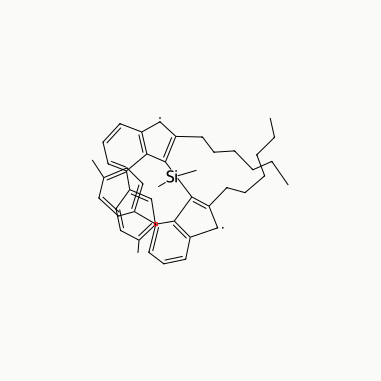 CCCCCCC1=C([Si](C)(C)C2=C(CCCCCC)[CH]c3cccc(-c4ccc(C)cc4)c32)c2c(cccc2-c2ccc(C)cc2)[CH]1